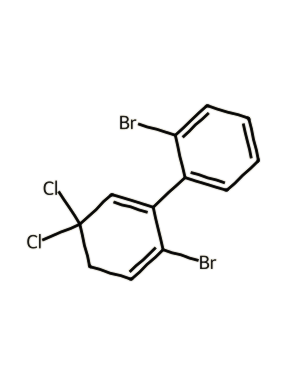 ClC1(Cl)C=C(c2ccccc2Br)C(Br)=CC1